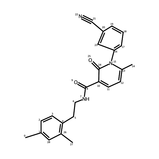 Cc1ccc(CCNC(=O)c2ccc(C)n(-c3cccc(C#N)c3)c2=O)c(C)c1